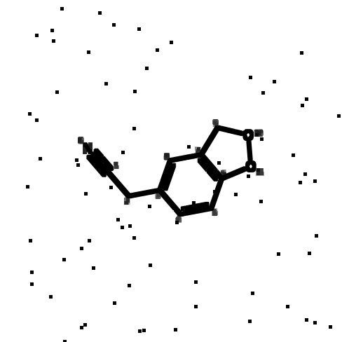 N#CCc1ccc2c(c1)COO2